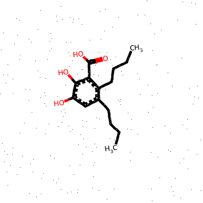 CCCCc1cc(O)c(O)c(C(=O)O)c1CCCC